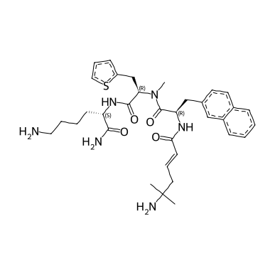 CN(C(=O)[C@@H](Cc1ccc2ccccc2c1)NC(=O)C=CCC(C)(C)N)[C@H](Cc1cccs1)C(=O)N[C@@H](CCCCN)C(N)=O